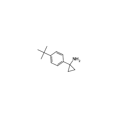 CC(C)(C)c1ccc(C2(N)CC2)cc1